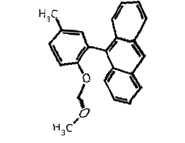 COCOc1ccc(C)cc1-c1c2ccccc2cc2ccccc12